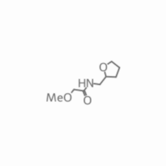 COCC(=O)NCC1CCCO1